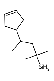 CC(CC(C)(C)[SiH3])C1CC=CC1